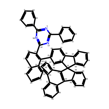 c1ccc(-c2nc(-c3ccccc3)nc(-c3ccc4ccccc4c3-c3ccc4c(c3)C3(c5ccccc5-4)c4ccccc4-c4c3c3ccccc3c3ccccc43)n2)cc1